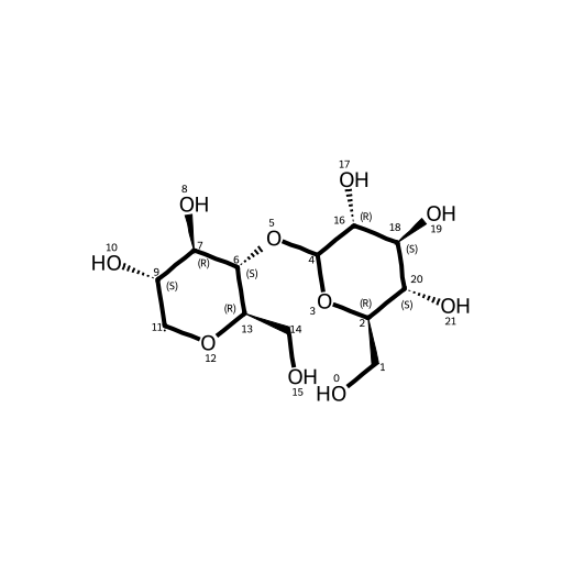 OC[C@H]1OC(O[C@H]2[C@H](O)[C@@H](O)[CH]O[C@@H]2CO)[C@H](O)[C@@H](O)[C@@H]1O